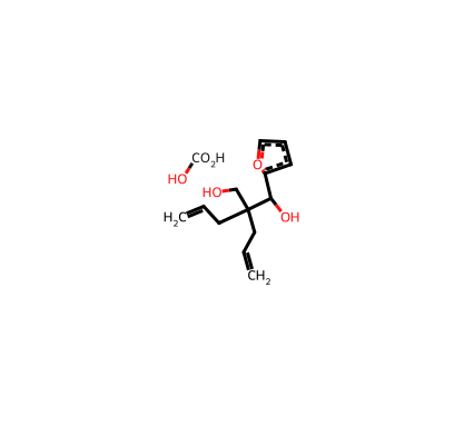 C=CCC(CO)(CC=C)C(O)c1ccco1.O=C(O)O